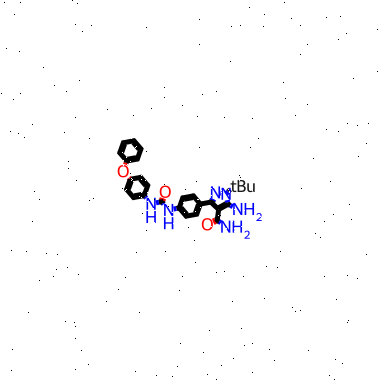 CC(C)(C)n1nc(-c2ccc(NC(=O)Nc3ccc(Oc4ccccc4)cc3)cc2)c(C(N)=O)c1N